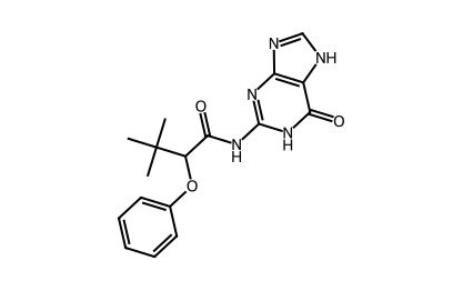 CC(C)(C)C(Oc1ccccc1)C(=O)Nc1nc2nc[nH]c2c(=O)[nH]1